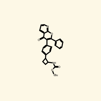 CC(C)(C)OC(=O)NC1CCC1c1ccc(-c2c(-c3ccccc3)oc3ncccc3c2=O)cc1